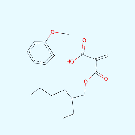 C=C(C(=O)O)C(=O)OCC(CC)CCCC.COc1ccccc1